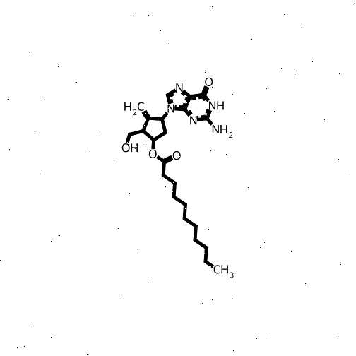 C=C1C(CO)C(OC(=O)CCCCCCCCCC)CC1n1cnc2c(=O)[nH]c(N)nc21